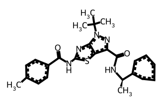 Cc1ccc(C(=O)Nc2nc3c(s2)c(C(=O)N[C@H](C)c2ccccc2)nn3C(C)(C)C)cc1